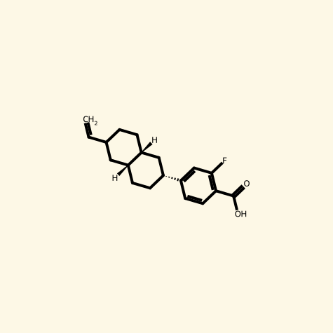 C=CC1CC[C@@H]2C[C@H](c3ccc(C(=O)O)c(F)c3)CC[C@@H]2C1